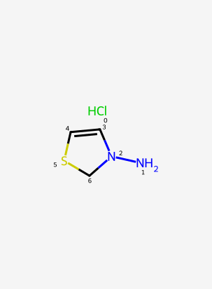 Cl.NN1C=CSC1